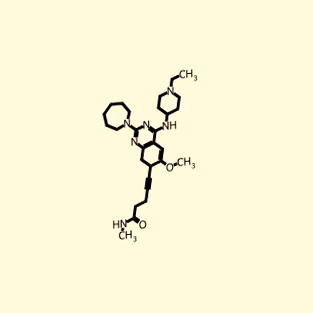 CCN1CCC(Nc2nc(N3CCCCCC3)nc3c2C=C(OC)C(C#CCCC(=O)NC)C3)CC1